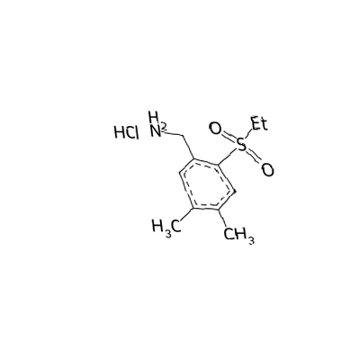 CCS(=O)(=O)c1cc(C)c(C)cc1CN.Cl